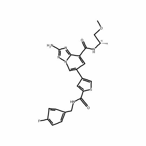 COC[C@H](C)NC(=O)c1cc(-c2csc(C(=O)NCc3ccc(F)cc3)c2)cn2nc(N)nc12